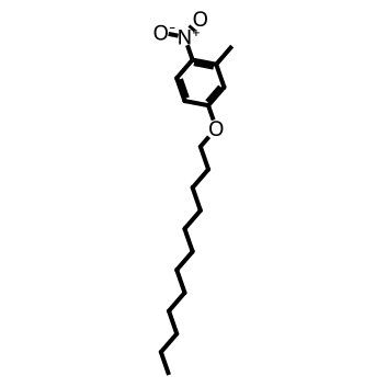 CCCCCCCCCCCCOc1ccc([N+](=O)[O-])c(C)c1